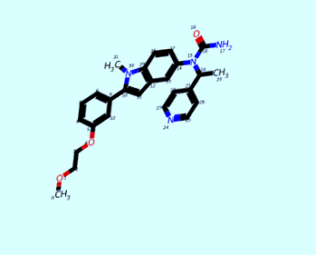 COCCOc1cccc(-c2cc3cc(N(C(N)=O)C(C)c4ccncc4)ccc3n2C)c1